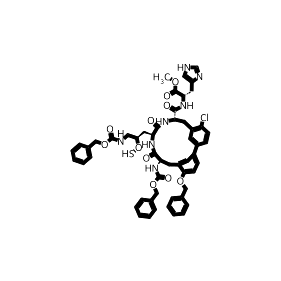 COC(=O)[C@H](Cc1c[nH]cn1)NC(=O)[C@@H]1Cc2cc(ccc2Cl)-c2ccc(OCc3ccccc3)c(c2)C[C@H](NC(=O)OCc2ccccc2)C(=O)N[C@@H](C[C@H](CNC(=O)OCc2ccccc2)OS)C(=O)N1